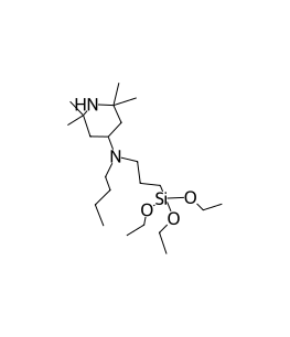 CCCCN(CCC[Si](OCC)(OCC)OCC)C1CC(C)(C)NC(C)(C)C1